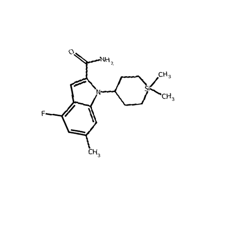 Cc1cc(F)c2cc(C(N)=O)n(C3CC[Si](C)(C)CC3)c2c1